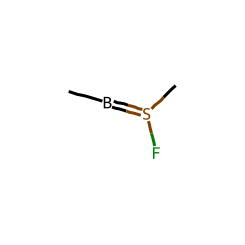 CB=S(C)F